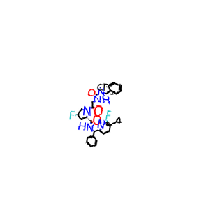 O=C(N[C@@H](c1ccccc1)c1ccc(C2CC2)c(F)n1)[C@@H]1C[C@@H](F)CN1C(=O)CNC(=O)N(Cc1ccccc1)C(F)(F)F